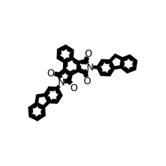 O=c1c2c3ccccc3c3c(=O)n(-c4ccc5c(c4)Cc4ccccc4-5)c(=O)c3c2c(=O)n1-c1ccc2c(c1)Cc1ccccc1-2